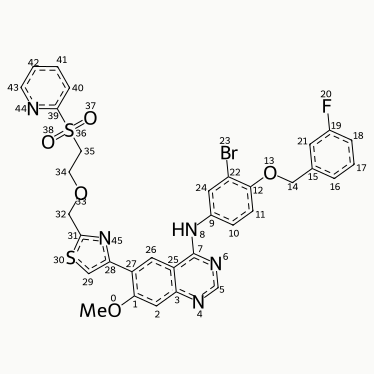 COc1cc2ncnc(Nc3ccc(OCc4cccc(F)c4)c(Br)c3)c2cc1-c1csc(COCCS(=O)(=O)c2ccccn2)n1